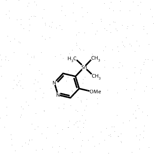 COc1cnnc[c]1[Sn]([CH3])([CH3])[CH3]